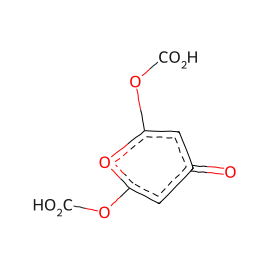 O=C(O)Oc1cc(=O)cc(OC(=O)O)o1